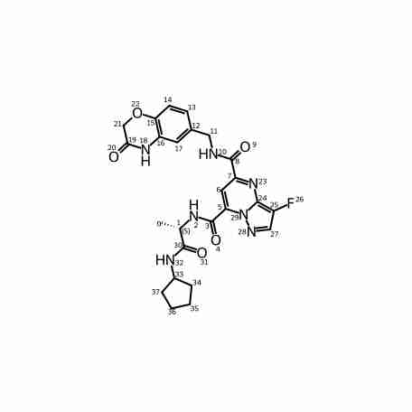 C[C@H](NC(=O)c1cc(C(=O)NCc2ccc3c(c2)NC(=O)CO3)nc2c(F)cnn12)C(=O)NC1CCCC1